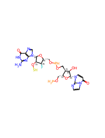 Nc1nc2c(ncn2[C@@H]2O[C@H](COPOC[C@H]3[C@@H](O)[C@H](n4ccc(=O)n5ccnc45)O[C@@H]3COP)[C@@H](F)[C@H]2OS)c(=O)[nH]1